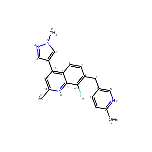 COc1ccc(Cc2ccc3c(-c4cnn(C)c4)cc(C(C)=O)nc3c2F)cn1